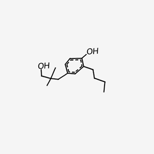 CCCCc1cc(CC(C)(C)CO)ccc1O